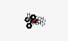 CC(C)(C)[Si](C)(C)OC(c1ccccc1)(c1ccccc1)[C@@H]1CCCN1